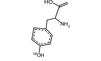 C=C(O)C(N)Cc1ccc([18OH])cc1